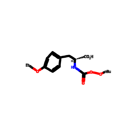 CCCCOOC(=O)N[C@H](Cc1ccc(OCC)cc1)C(=O)O